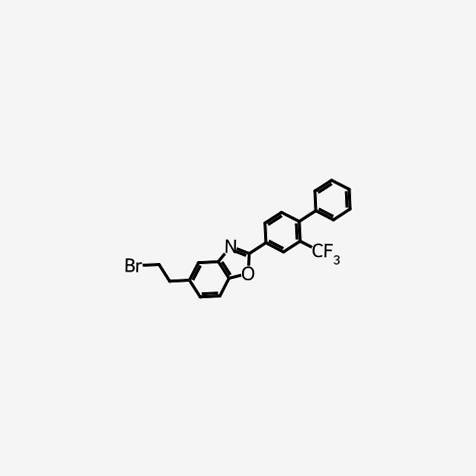 FC(F)(F)c1cc(-c2nc3cc(CCBr)ccc3o2)ccc1-c1ccccc1